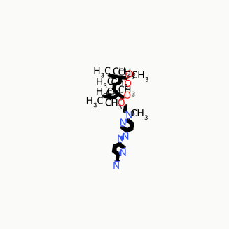 CCC(C)(C)CC(C)(C(=O)OCCN(C)c1ccc(/N=N/c2ccc(C#N)nc2)cn1)C(C)C(C)CC(C)(C(=O)OC)C(C)(C)CC